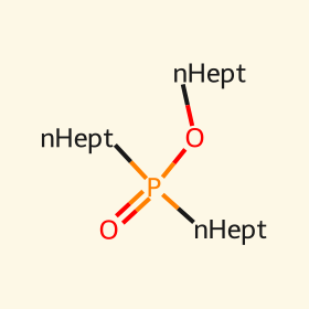 CCCCCCCOP(=O)(CCCCCCC)CCCCCCC